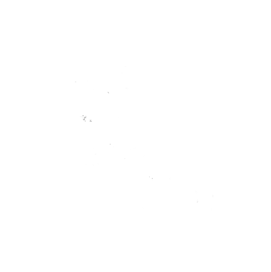 c1ccc([Si]2(c3ccccc3)c3ccccc3-c3c2ccc2c3C3(c4ccccc4N2c2ccc4c(c2)c2ccccc2n4-c2ccc4oc5ccccc5c4c2)c2ccsc2-c2sccc23)cc1